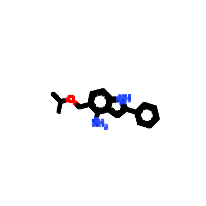 CC(C)OCc1ccc2[nH]c(-c3ccccc3)cc2c1N